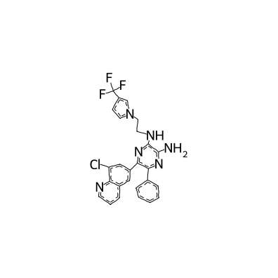 Nc1nc(-c2ccccc2)c(-c2cc(Cl)c3ncccc3c2)nc1NCCn1ccc(C(F)(F)F)c1